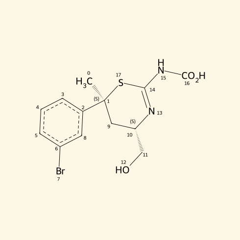 C[C@@]1(c2cccc(Br)c2)C[C@@H](CO)N=C(NC(=O)O)S1